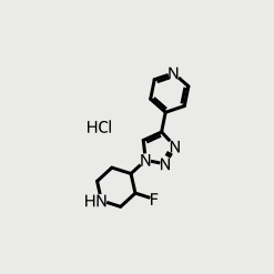 Cl.FC1CNCCC1n1cc(-c2ccncc2)nn1